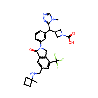 Cn1cnnc1C(c1cccc(N2Cc3c(cc(CNC4(C)CCC4)cc3C(F)(F)F)C2=O)c1)C1CN(C(=O)O)C1